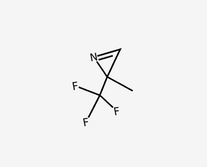 CC1(C(F)(F)F)C=N1